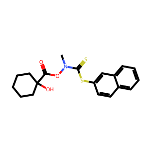 CN(OC(=O)C1(O)CCCCC1)C(=S)Sc1ccc2ccccc2c1